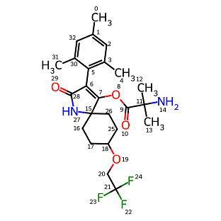 Cc1cc(C)c(C2=C(OC(=O)C(C)(C)N)C3(CCC(OCC(F)(F)F)CC3)NC2=O)c(C)c1